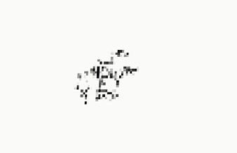 CCCCC[C@H](O)/C=C\[C@@](CC/C=C/CO)(C(=O)O)[C@H]1CCCC1=O